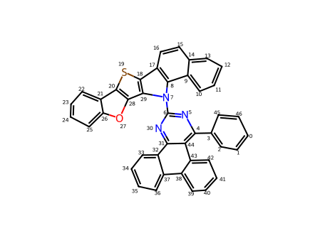 c1ccc(-c2nc(-n3c4c5ccccc5ccc4c4sc5c6ccccc6oc5c43)nc3c4ccccc4c4ccccc4c23)cc1